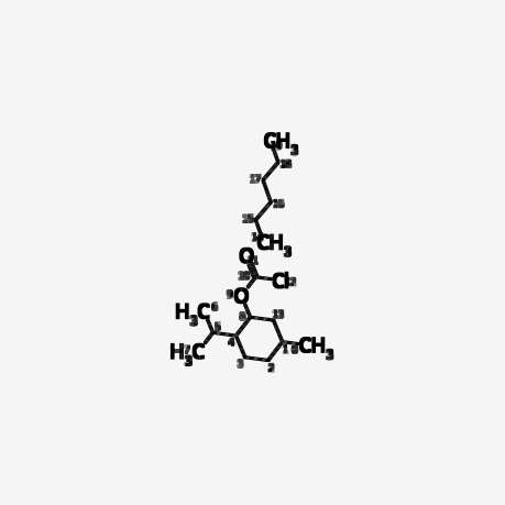 CC1CCC(C(C)C)C(OC(=O)Cl)C1.CCCCCC